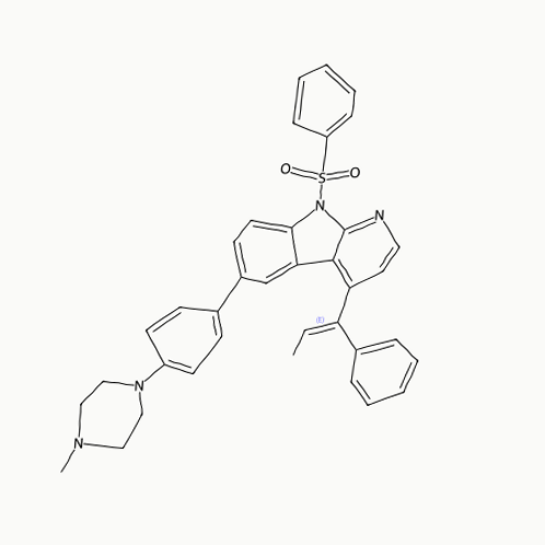 C/C=C(\c1ccccc1)c1ccnc2c1c1cc(-c3ccc(N4CCN(C)CC4)cc3)ccc1n2S(=O)(=O)c1ccccc1